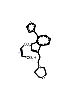 C1=C(CCN2CCOCC2)c2cccc(-c3ccsc3)c2C1.O=C(O)/C=C\C(=O)O